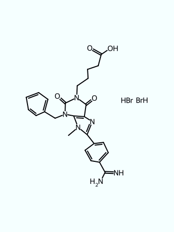 Br.Br.Cn1c(-c2ccc(C(=N)N)cc2)nc2c(=O)n(CCCCC(=O)O)c(=O)n(Cc3ccccc3)c21